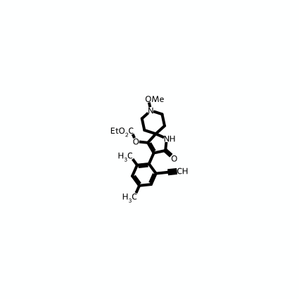 C#Cc1cc(C)cc(C)c1C1=C(OC(=O)OCC)C2(CCN(OC)CC2)NC1=O